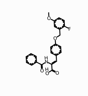 COc1ccc(F)c(COc2ccc(C=C(NC(=O)c3ccccc3)C(=O)O)cc2)c1